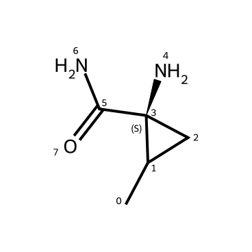 CC1C[C@@]1(N)C(N)=O